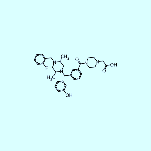 C[C@@H]1CN([C@@H](c2cccc(O)c2)c2cccc(C(=O)N3CCN(CC(=O)O)CC3)c2)[C@@H](C)CN1Cc1ccccc1F